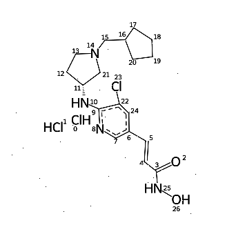 Cl.Cl.O=C(/C=C/c1cnc(N[C@@H]2CCN(CC3CCCC3)C2)c(Cl)c1)NO